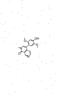 COc1cc(-c2cn(C)c(=O)c3cnccc23)c(OC)cc1O